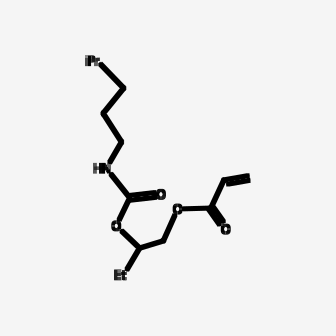 C=CC(=O)OCC(CC)OC(=O)NCCCC(C)C